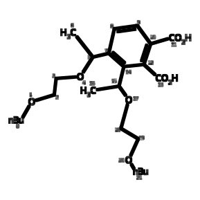 CCCCOCCOC(C)c1ccc(C(=O)O)c(C(=O)O)c1C(C)OCCOCCCC